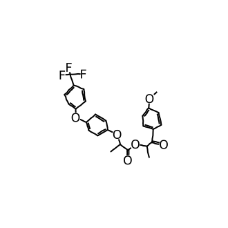 COc1ccc(C(=O)C(C)OC(=O)C(C)Oc2ccc(Oc3ccc(C(F)(F)F)cc3)cc2)cc1